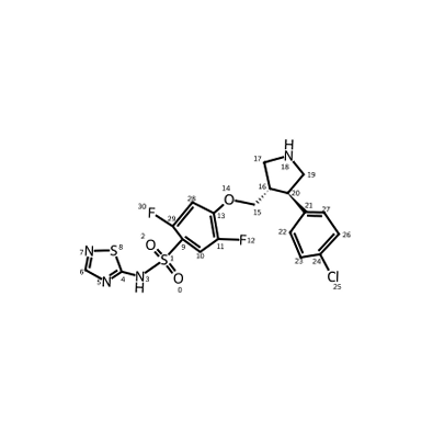 O=S(=O)(Nc1ncns1)c1cc(F)c(OC[C@@H]2CNC[C@H]2c2ccc(Cl)cc2)cc1F